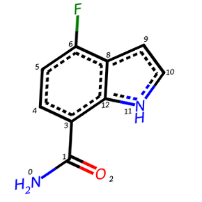 NC(=O)c1ccc(F)c2cc[nH]c12